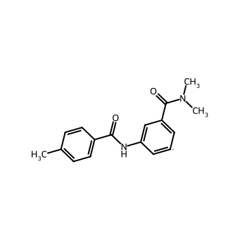 Cc1ccc(C(=O)Nc2c[c]cc(C(=O)N(C)C)c2)cc1